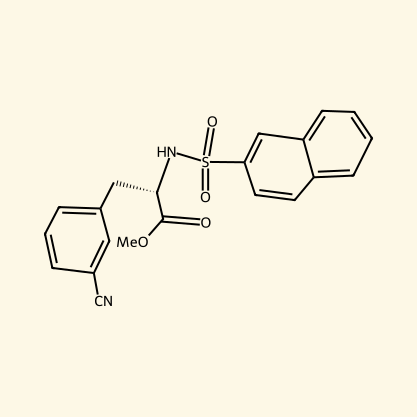 COC(=O)[C@H](Cc1cccc(C#N)c1)NS(=O)(=O)c1ccc2ccccc2c1